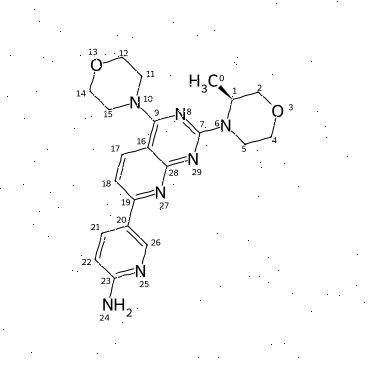 C[C@H]1COCCN1c1nc(N2CCOCC2)c2ccc(-c3ccc(N)nc3)nc2n1